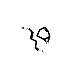 C1=CC2OC2CC1.C=CC/C=C/C(=O)O